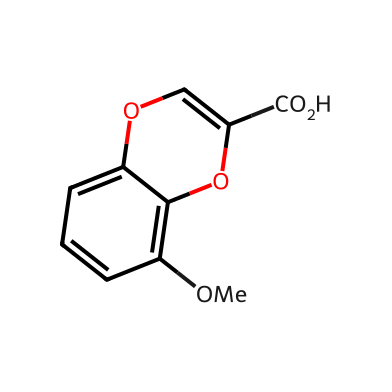 COc1cccc2c1OC(C(=O)O)=CO2